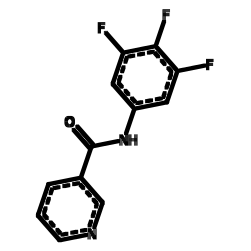 O=C(Nc1cc(F)c(F)c(F)c1)c1cccnc1